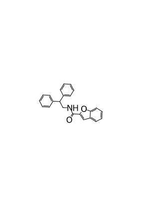 O=C(NCC(c1ccccc1)c1ccccc1)c1cc2ccccc2o1